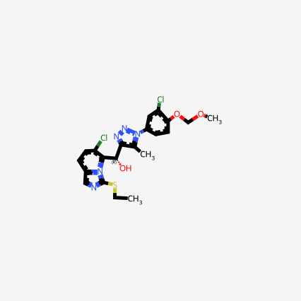 CCSc1ncc2ccc(Cl)c([C@@H](O)c3nnn(-c4ccc(OCOC)c(Cl)c4)c3C)n12